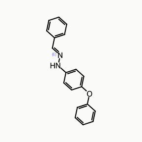 C(=N\Nc1ccc(Oc2ccccc2)cc1)/c1ccccc1